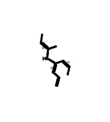 C=C/C=C(B/C(C)=C/C)\C=C/C